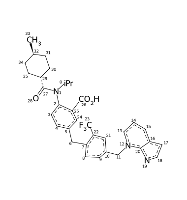 CC(C)N(c1ccc(Cc2ccc(Cn3cccc4ccnc3-4)cc2C(F)(F)F)cc1C(=O)O)C(=O)[C@H]1CC[C@H](C)CC1